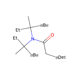 CCCCCCCCCCCC(=O)N(C(C)(CC)CCCC)C(C)(CC)CCCC